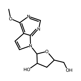 COc1ncnc2c1ccn2C1OC(CO)CC1O